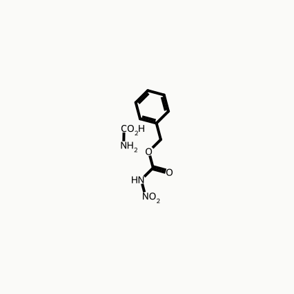 NC(=O)O.O=C(N[N+](=O)[O-])OCc1ccccc1